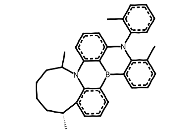 Cc1ccccc1N1c2cccc3c2B(c2cccc(C)c21)c1cccc2c1N3C(C)CCCC[C@H]2C